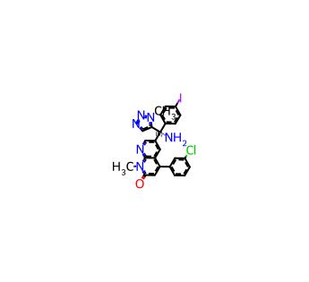 Cn1nncc1[C@@](N)(c1ccc(I)cc1)c1cnc2c(c1)c(-c1cccc(Cl)c1)cc(=O)n2C